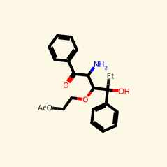 CCC(O)(c1ccccc1)C(OCCOC(C)=O)C(N)C(=O)c1ccccc1